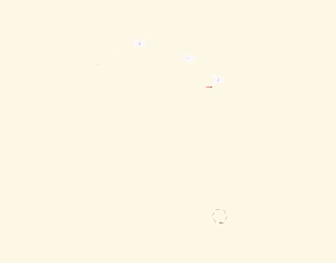 O=CC(NCCOCCO)OCCOCCNCCC[C@H](NC(=O)CCCCCCCCCCCCCCCOc1ccc(C(=O)O)cc1)C(=O)O